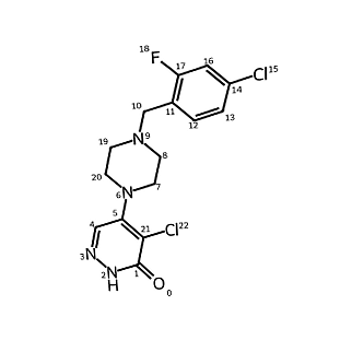 O=c1[nH]ncc(N2CCN(Cc3ccc(Cl)cc3F)CC2)c1Cl